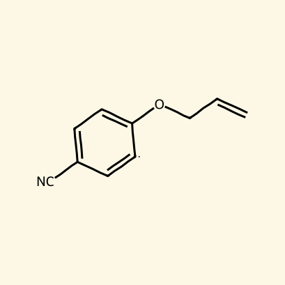 C=CCOc1[c]cc(C#N)cc1